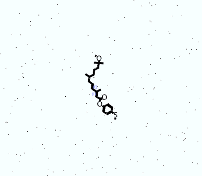 COC(C)(C)CCCC(C)C/C=C/C(C)=C/C(=O)Oc1ccc(SC)cc1